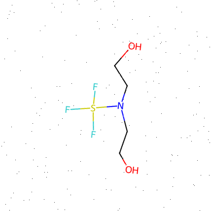 OCCN(CCO)S(F)(F)F